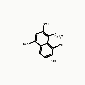 Nc1c(S(=O)(=O)O)cc(S(=O)(=O)O)c2cccc(O)c12.O.[NaH]